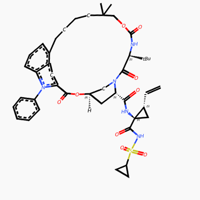 C=C[C@@H]1C[C@]1(NC(=O)[C@@H]1C[C@@H]2CN1C(=O)[C@H](C(C)(C)C)NC(=O)OCC(C)(C)CCCCc1cccc3c1cc(n3-c1ccccc1)C(=O)O2)C(=O)NS(=O)(=O)C1CC1